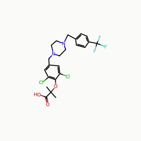 CC(C)(Oc1c(Cl)cc(CN2CCN(Cc3ccc(C(F)(F)F)cc3)CC2)cc1Cl)C(=O)O